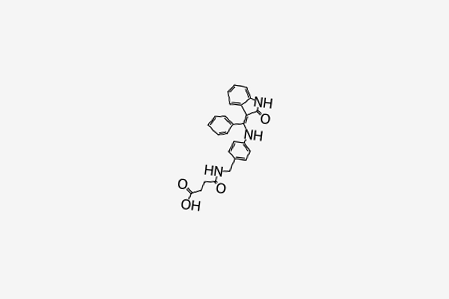 O=C(O)CCC(=O)NCc1ccc(N/C(=C2\C(=O)Nc3ccccc32)c2ccccc2)cc1